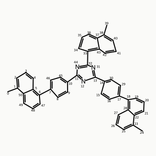 Cc1cccc2c(-c3ccc(-c4nc(-c5ccc(-c6cccc7c(C)cccc67)cc5)nc(-c5cccc6c(C)cccc56)n4)cc3)cccc12